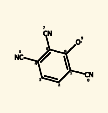 N#Cc1ccc(C#N)c(C#N)c1[O]